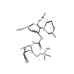 C=C(C)[C@@H]1CCC(C)=C[C@H]1c1c(O)cc(CCCCC)cc1OC(=O)S[C@H]1NC(=O)[C@@H]1[C@@H](C)O[Si](C)(C)C(C)(C)C